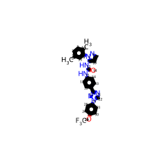 Cc1ccc(C)c(-n2nccc2NC(=O)Nc2ccc(-c3ncn(-c4ccc(OC(F)(F)F)cc4)n3)cc2)c1